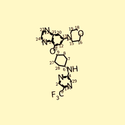 FC(F)(F)c1cnc(N[C@H]2CC[C@@H](Oc3cc(N4CCOCC4)cc4nccnc34)CC2)cn1